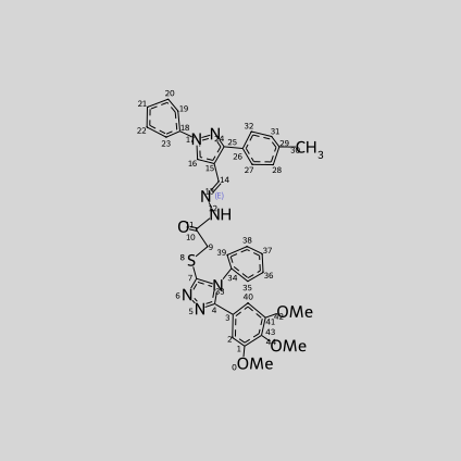 COc1cc(-c2nnc(SCC(=O)N/N=C/c3cn(-c4ccccc4)nc3-c3ccc(C)cc3)n2-c2ccccc2)cc(OC)c1OC